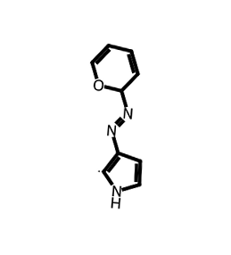 [c]1[nH]ccc1N=NC1C=CC=CO1